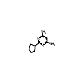 Nc1cc(N)nc(C2CCOC2)n1